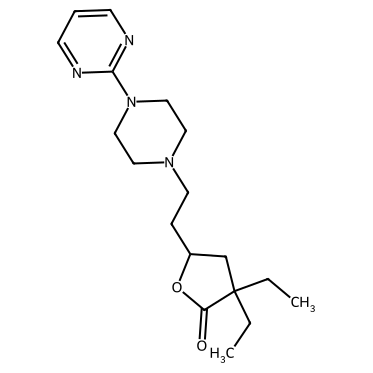 CCC1(CC)CC(CCN2CCN(c3ncccn3)CC2)OC1=O